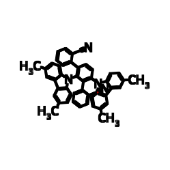 Cc1ccc2c(c1)c1cc(C)ccc1n2-c1ccc(-c2ccccc2C#N)c(-n2c3ccc(C)cc3c3cc(C)ccc32)c1-c1ccccc1C#N